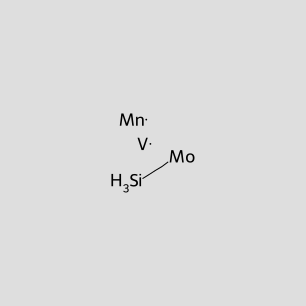 [Mn].[SiH3][Mo].[V]